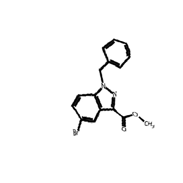 COC(=O)c1nn(Cc2ccccc2)c2ccc(Br)cc12